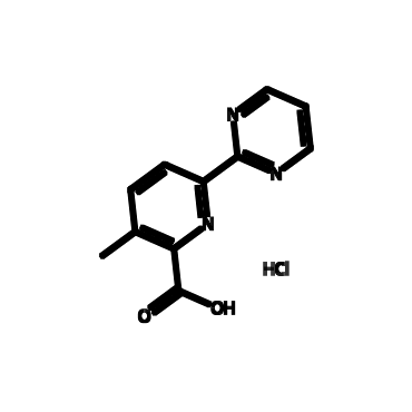 Cc1ccc(-c2ncccn2)nc1C(=O)O.Cl